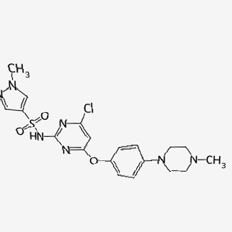 CN1CCN(c2ccc(Oc3cc(Cl)nc(NS(=O)(=O)c4cnn(C)c4)n3)cc2)CC1